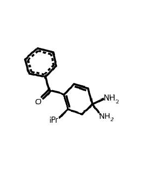 CC(C)C1=C(C(=O)c2ccccc2)C=CC(N)(N)C1